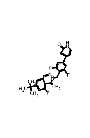 C=C1c2c(F)cc(C(C)(C)C)cc2C=NN1Cc1c(F)cc(-c2cc[nH]c(=O)c2)cc1F